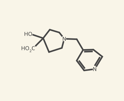 O=C(O)C1(O)CCN(Cc2ccncc2)CC1